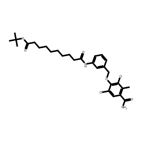 Cc1c(C(N)=O)cc(Cl)c(OCc2cccc(NC(=O)CCCCCCCCC(=O)OC(C)(C)C)c2)c1Cl